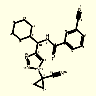 N#Cc1cccc(C(=O)NC(c2cn(C3(C#N)CC3)nn2)C2CCCCC2)c1